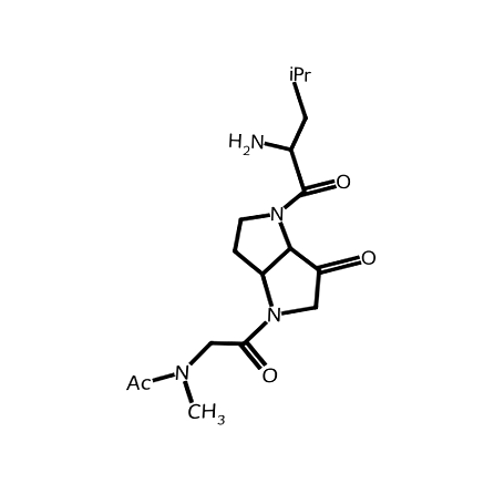 CC(=O)N(C)CC(=O)N1CC(=O)C2C1CCN2C(=O)C(N)CC(C)C